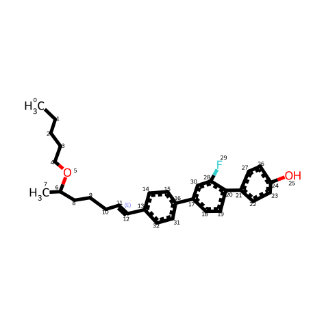 CCCCCOC(C)CCC/C=C/c1ccc(-c2ccc(-c3ccc(O)cc3)c(F)c2)cc1